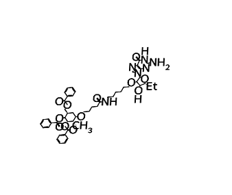 CC[C@H]1O[C@@H](n2cnc3c(=O)[nH]c(N)nc32)[C@@H](OCCCCCCNC(=O)CCCCO[C@@H]2C[C@H](COC(=O)c3ccccc3)[C@H](OC(=O)c3ccccc3)[C@H](OC(=O)c3ccccc3)[C@H]2C)C1O